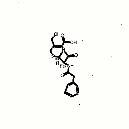 O=C(Cc1ccccc1)N[C@]1(I)C(=O)N2C(C(=O)O)=C(CO)CS[C@@H]21